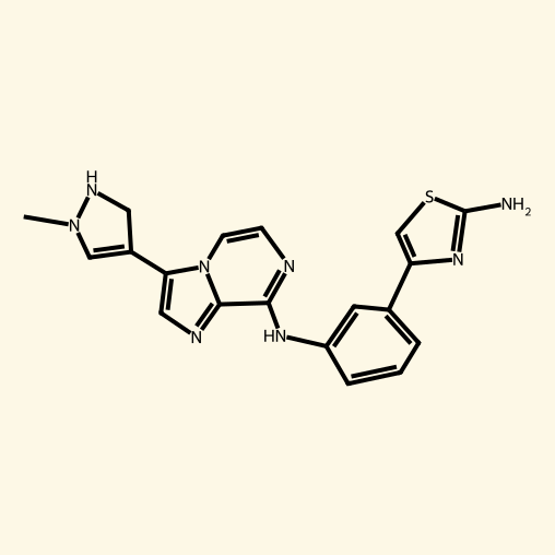 CN1C=C(c2cnc3c(Nc4cccc(-c5csc(N)n5)c4)nccn23)CN1